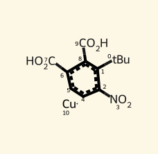 CC(C)(C)c1c([N+](=O)[O-])ccc(C(=O)O)c1C(=O)O.[Cu]